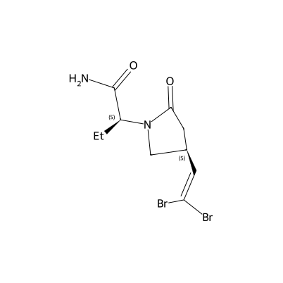 CC[C@@H](C(N)=O)N1C[C@H](C=C(Br)Br)CC1=O